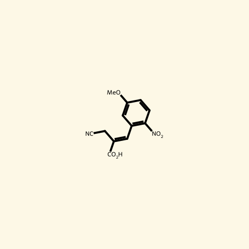 COc1ccc([N+](=O)[O-])c(C=C(CC#N)C(=O)O)c1